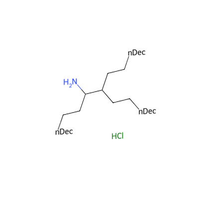 CCCCCCCCCCCCC(N)C(CCCCCCCCCCCC)CCCCCCCCCCCC.Cl